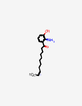 CCCCCCCC/C=C\CCCCCCCC(=O)c1cccc(O)c1N